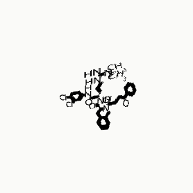 CN(C)C(=N)NCCC[C@H](NC(=O)[C@@H]1Cc2ccccc2CN1C(=O)CCC(=O)c1ccccc1)C(=O)Nc1ccc(Cl)c(Cl)c1